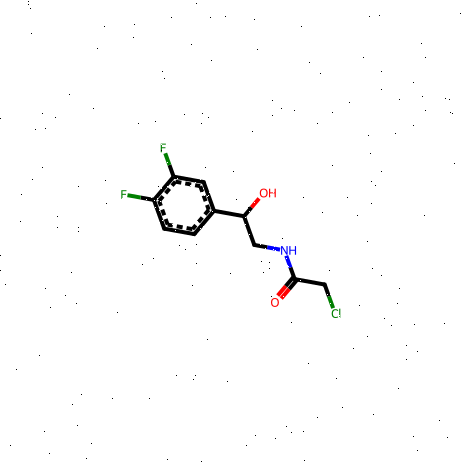 O=C(CCl)NCC(O)c1ccc(F)c(F)c1